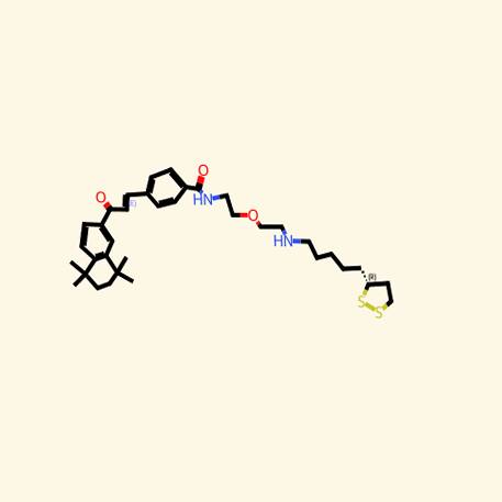 CC1(C)CCC(C)(C)c2cc(C(=O)/C=C/c3ccc(C(=O)NCCOCCNCCCCC[C@@H]4CCSS4)cc3)ccc21